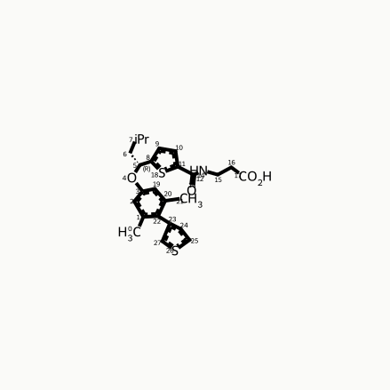 Cc1cc(O[C@H](CC(C)C)c2ccc(C(=O)NCCC(=O)O)s2)cc(C)c1-c1ccsc1